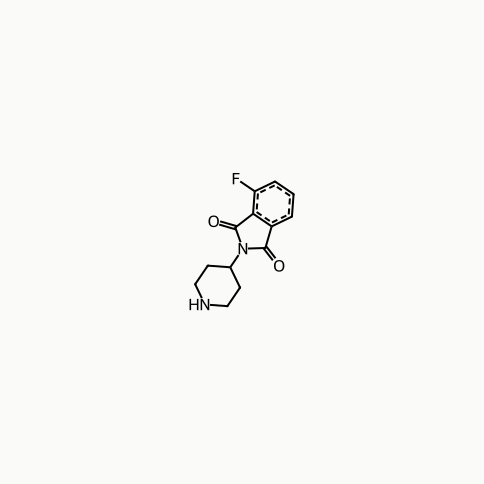 O=C1c2cccc(F)c2C(=O)N1C1CCNCC1